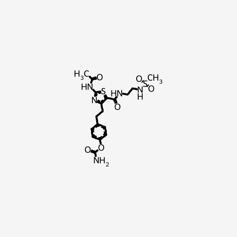 CC(=O)Nc1nc(CCc2ccc(OC(N)=O)cc2)c(C(=O)NCCNS(C)(=O)=O)s1